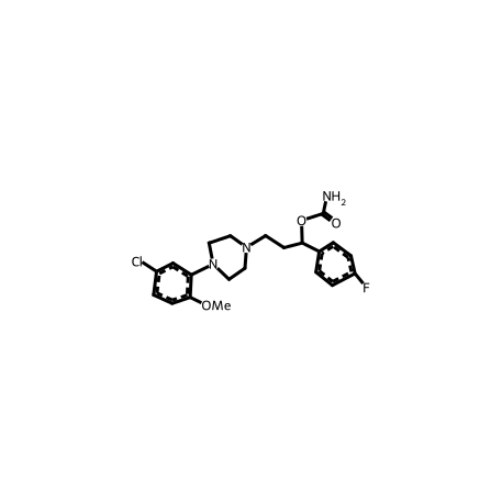 COc1ccc(Cl)cc1N1CCN(CCC(OC(N)=O)c2ccc(F)cc2)CC1